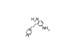 C[N+]1(C)CCN(CCCc2cc(N)ccc2N)CC1